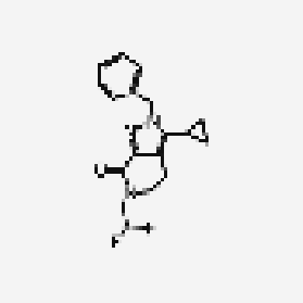 O=C1c2nn(Cc3ccccc3)c(C3CC3)c2CCN1CC(F)F